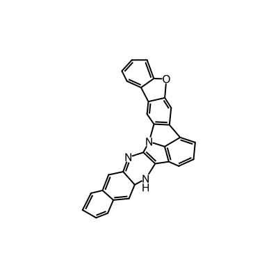 C1=c2ccccc2=CC2Nc3c(n4c5cc6c(cc5c5cccc3c54)oc3ccccc36)N=C12